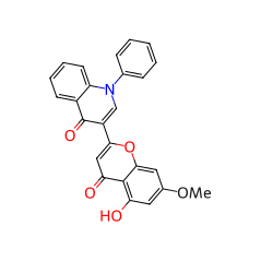 COc1cc(O)c2c(=O)cc(-c3cn(-c4ccccc4)c4ccccc4c3=O)oc2c1